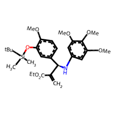 C=C(C(=O)OCC)[C@H](Nc1cc(OC)c(OC)c(OC)c1)c1ccc(OC)c(O[Si](C)(C)C(C)(C)C)c1